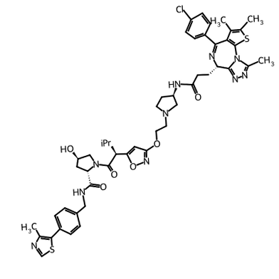 Cc1ncsc1-c1ccc(CNC(=O)[C@@H]2C[C@@H](O)CN2C(=O)[C@H](c2cc(OCCN3CC[C@@H](NC(=O)CC[C@@H]4N=C(c5ccc(Cl)cc5)c5c(sc(C)c5C)-n5c(C)nnc54)C3)no2)C(C)C)cc1